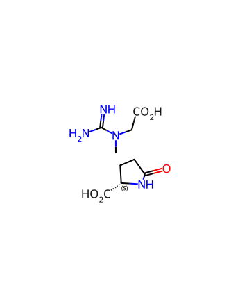 CN(CC(=O)O)C(=N)N.O=C1CC[C@@H](C(=O)O)N1